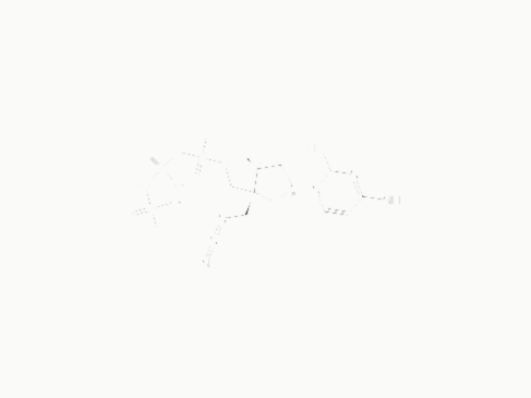 [N-]=[N+]=NC[C@]1(COP(=O)(O)OP(=O)(O)OP(=O)(O)O)O[C@@H](N2C=CC(N)=NC2O)C[C@@H]1O